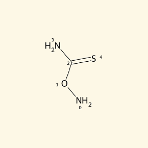 NOC(N)=S